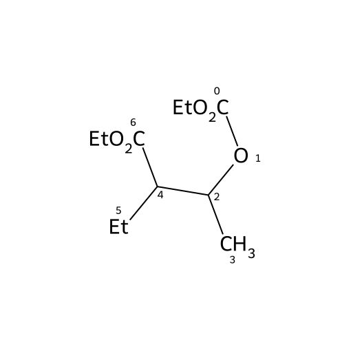 CCOC(=O)OC(C)C(CC)C(=O)OCC